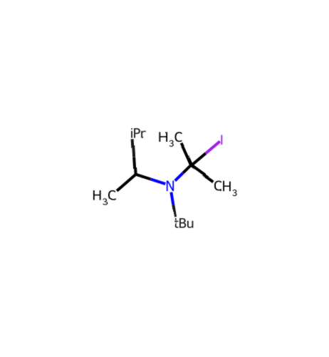 CC(C)C(C)N(C(C)(C)C)C(C)(C)I